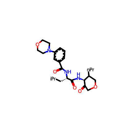 CCCC1COCC(=O)[C@H]1NC(=O)[C@H](CC(C)C)NC(=O)c1cccc(N2CCOCC2)c1